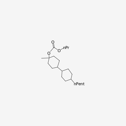 CCCCCC1CCC(C2CCC(C)(OC(=O)OCCC)CC2)CC1